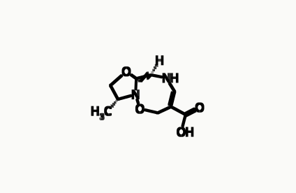 C[C@@H]1CO[C@@]23CCC[C@@H]2N/C=C(/C(=O)O)CON13